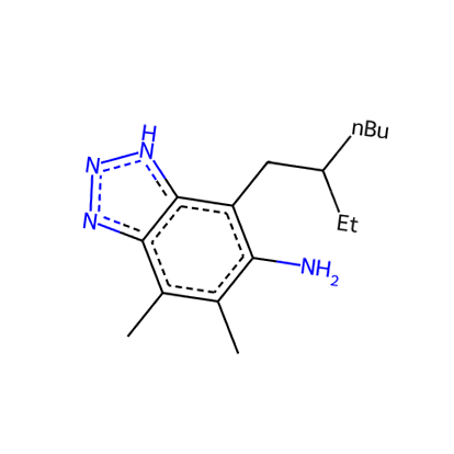 CCCCC(CC)Cc1c(N)c(C)c(C)c2nn[nH]c12